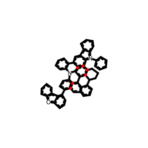 c1ccc(-n2c3ccccc3c3cc(-c4ccccc4N(c4ccc(-c5cccc6oc7ccccc7c56)cc4)c4ccccc4-c4cccc5cccc(C6CCCCC6)c45)ccc32)cc1